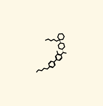 CCCCCc1ccc(-c2ccc(C(C)[C@H]3CC[C@H](C4(CCCCC)CCCCC4)CC3)c(C)c2)cc1